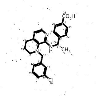 C[C@H](Nc1nccc2c1N(Cc1cccc(Cl)c1)CCC2)c1ccc(C(=O)O)cc1